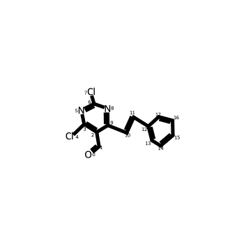 O=Cc1c(Cl)nc(Cl)nc1C=Cc1ccccc1